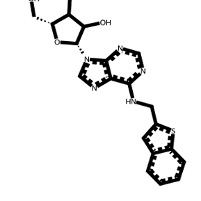 OC[C@H]1O[C@@H](n2cnc3c(NCc4cc5ccccc5s4)ncnc32)C(O)C1O